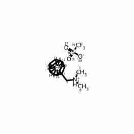 C[NH+](C)C[C]12[CH]3[CH]4[CH]5[CH]1[Fe]45321678[CH]2[CH]1[CH]6[CH]7[CH]28.O=S(=O)([O-])C(F)(F)F